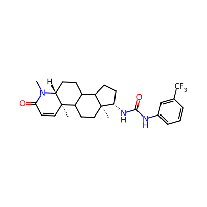 CN1C(=O)C=C[C@]2(C)C3CC[C@@]4(C)C(CC[C@@H]4NC(=O)Nc4cccc(C(F)(F)F)c4)C3CC[C@@H]12